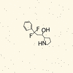 O[C@H](CC(F)(F)c1ccccc1)C1CCCN1